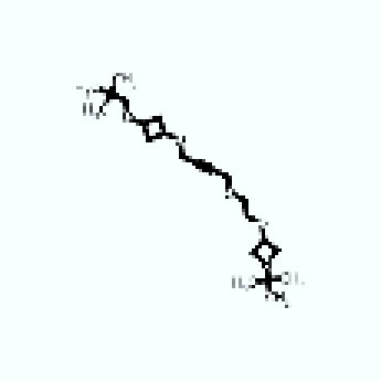 CC(C)(C)COC1CC(OCC#CCOCCOC2CN(C(C)(C)C)C2)C1